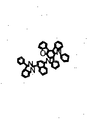 c1ccc(-c2nc(-c3ccc(-n4c5ccccc5c5c4c4oc6ccccc6c4c4c6ccccc6n(-c6ccccc6)c45)c4ccccc34)nc3ccccc23)cc1